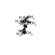 C=CC(=O)Nc1cc(Nc2nccc(-c3cc(C#N)c4c(c3)c(C)cn4C)n2)c(OC)cc1N(C)CCN